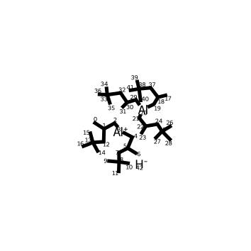 CC([CH2][Al+][CH2]C(C)CC(C)(C)C)CC(C)(C)C.CC([CH2][Al]([CH2]C(C)CC(C)(C)C)[CH2]C(C)CC(C)(C)C)CC(C)(C)C.[H-]